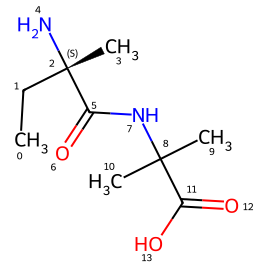 CC[C@](C)(N)C(=O)NC(C)(C)C(=O)O